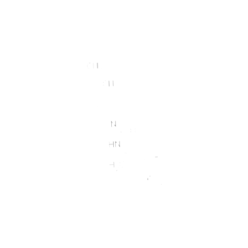 C=C/C(F)=C\C(=C)NC(=O)N1CCC(C/C(C)=C/C)CC1